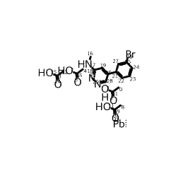 CC(=O)O.CC(=O)O.CC(=O)O.CC(=O)O.CNc1cc(-c2cccc(Br)c2)cnn1.[Pb]